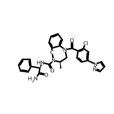 C[C@@H]1CN(C(=O)c2ccc(-n3cccn3)cc2Cl)c2ccccc2CN1C(=O)N[C@@H](C(N)=O)c1ccccc1